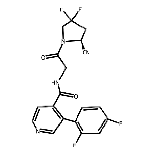 N#C[C@@H]1CC(F)(F)CN1C(=O)CNC(=O)c1ccncc1-c1ccc(F)cc1F